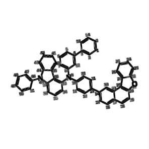 c1ccc(-c2cccc(N(c3ccc(-c4ccc5ccc6oc7ccccc7c6c5c4)cc3)c3cccc4c3c3ccccc3n4-c3ccccc3)c2)cc1